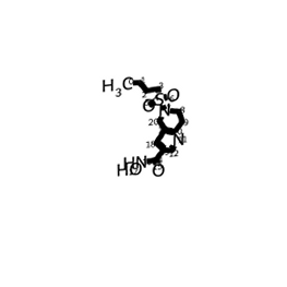 CCCCS(=O)(=O)N1CCc2ncc(C(=O)NO)cc2C1